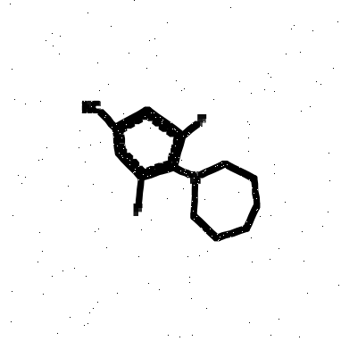 N#Cc1cc(F)c(N2CCCCCC2)c(F)c1